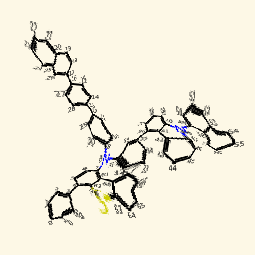 c1ccc(-c2ccc(N(c3ccc(-c4ccc(-c5ccc6ccccc6c5)cc4)cc3)c3cccc(-c4cccc5c4c4ccccc4n5-c4cccc5ccccc45)c3)c3c2sc2ccccc23)cc1